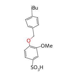 CCC(C)c1ccc(COc2ccc(S(=O)(=O)O)cc2OC)cc1